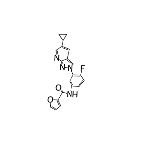 O=C(Nc1ccc(F)c(-n2cc3cc(C4CC4)cnc3n2)c1)c1ccco1